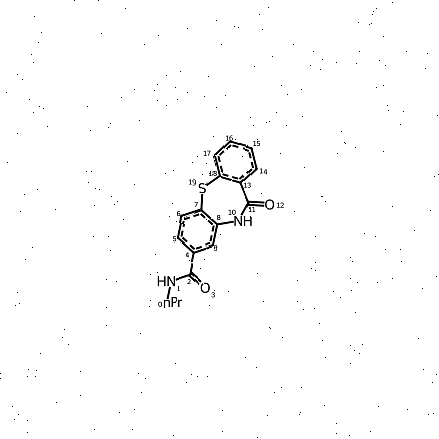 CCCNC(=O)c1ccc2c(c1)NC(=O)c1ccccc1S2